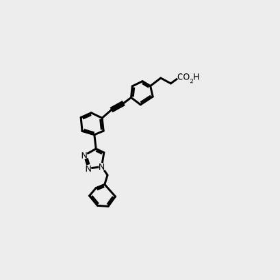 O=C(O)CCc1ccc(C#Cc2cccc(-c3cn(Cc4ccccc4)nn3)c2)cc1